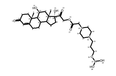 C[C@]12CCC(=O)C=C1CCC1C2[C@@H](O)C[C@@]2(C)C1CC[C@]2(O)C(=O)COC(=O)CN1CCN(CCCON(O)O)CC1